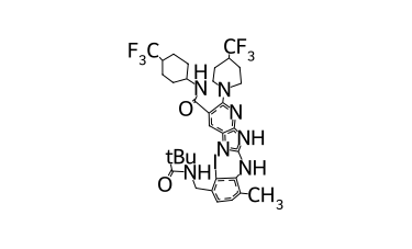 Cc1ccc(CNC(=O)C(C)(C)C)c(I)c1Nc1nc2cc(C(=O)NC3CCC(C(F)(F)F)CC3)c(N3CCC(C(F)(F)F)CC3)nc2[nH]1